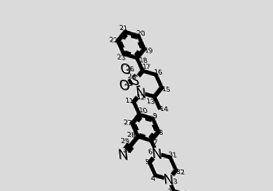 CC(=O)N1CCN(c2ccc(CN3C(C)CCC(c4ccccc4)S3(=O)=O)cc2C#N)CC1